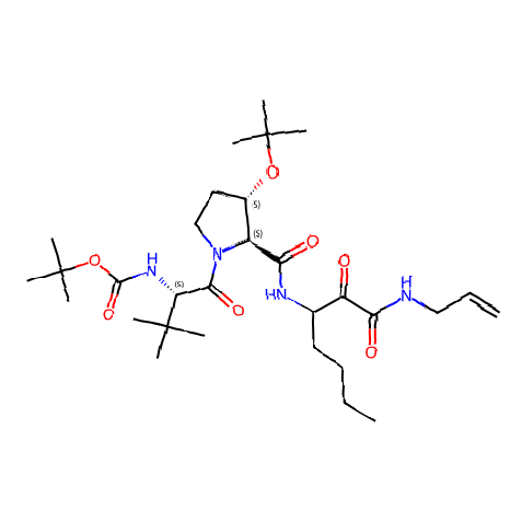 C=CCNC(=O)C(=O)C(CCCC)NC(=O)[C@@H]1[C@@H](OC(C)(C)C)CCN1C(=O)[C@@H](NC(=O)OC(C)(C)C)C(C)(C)C